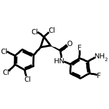 Nc1c(F)ccc(NC(=O)[C@H]2C(c3cc(Cl)c(Cl)c(Cl)c3)C2(Cl)Cl)c1F